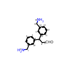 NCc1cccc(C(CC=O)c2cccc(CN)c2)c1